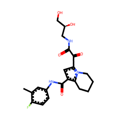 Cc1cc(NC(=O)c2cc(C(=O)C(=O)NC[C@H](O)CO)n3c2CCCC3)ccc1F